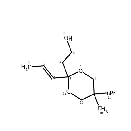 CC=CC1(CCO)OCC(C)(CCC)CO1